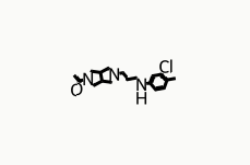 CC(=O)N1CC2CN(CCCNc3ccc(C)c(Cl)c3)CC2C1